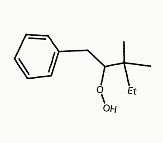 CCC(C)(C)C(Cc1ccccc1)OO